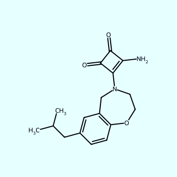 CC(C)Cc1ccc2c(c1)CN(c1c(N)c(=O)c1=O)CCO2